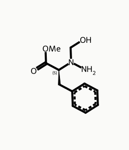 COC(=O)[C@H](Cc1ccccc1)N(N)CO